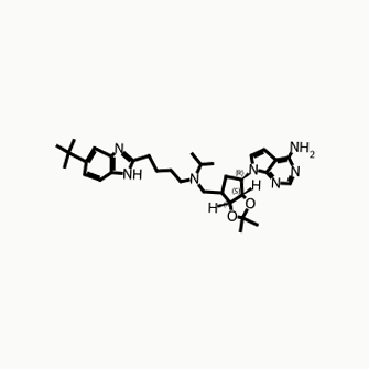 CC(C)N(CCCCc1nc2cc(C(C)(C)C)ccc2[nH]1)CC1C[C@@H](n2ccc3c(N)ncnc32)[C@@H]2OC(C)(C)O[C@H]12